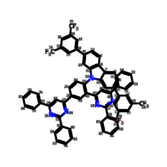 FC(F)(F)c1cc(-c2ccc3c4ccc(-c5cc(C(F)(F)F)cc(C(F)(F)F)c5)cc4n(-c4ccc(-c5cc(-c6ccccc6)nc(-c6ccccc6)n5)cc4-c4cc(-c5ccccc5)nc(-c5ccccc5)n4)c3c2)cc(C(F)(F)F)c1